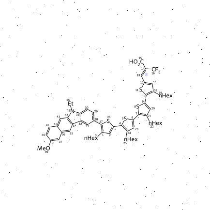 CCCCCCc1cc(-c2sc(-c3sc(-c4sc(/C=C(/C(=O)O)C(F)(F)F)cc4CCCCCC)cc3CCCCCC)cc2CCCCCC)sc1-c1ccc2c(c1)c1cc3cc(OC)ccc3cc1n2CC